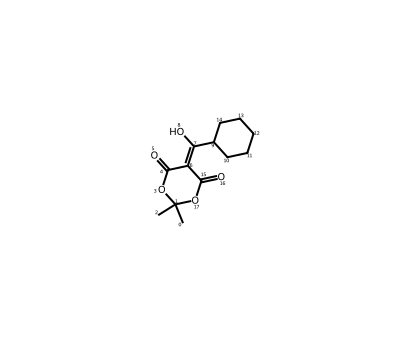 CC1(C)OC(=O)C(=C(O)C2CCCCC2)C(=O)O1